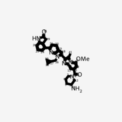 COc1cc(C(=O)N2CCC[C@@H](N)C2)cc2nc(-c3cc4ccc(-c5cccc6c5CC(=O)N6)nc4n3CC3CC3)c(C)n12